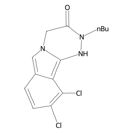 CCCCN1Nc2c3c(Cl)c(Cl)ccc3cn2CC1=O